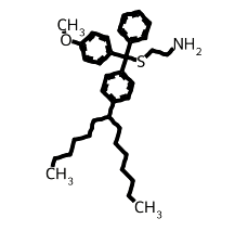 CCCCCCCC(CCCCCC)c1ccc(C(SCCN)(c2ccccc2)c2ccc(OC)cc2)cc1